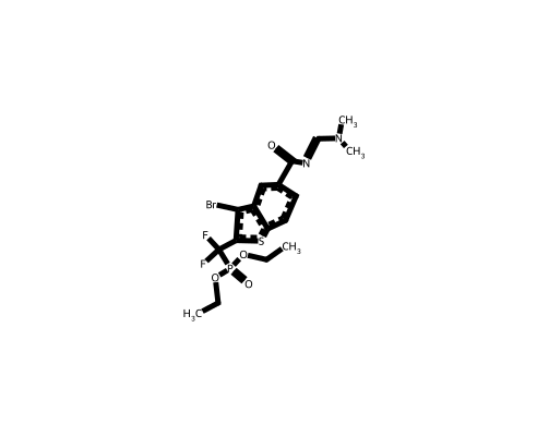 CCOP(=O)(OCC)C(F)(F)c1sc2ccc(C(=O)/N=C/N(C)C)cc2c1Br